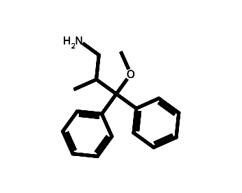 COC(c1ccccc1)(c1ccccc1)C(C)CN